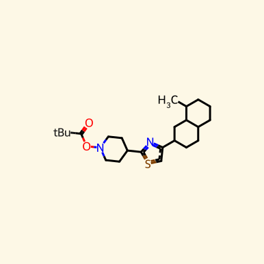 CC1CCCC2CCC(c3csc(C4CCN(OC(=O)C(C)(C)C)CC4)n3)CC12